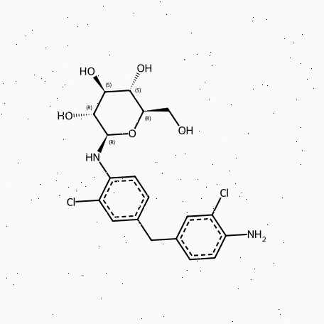 Nc1ccc(Cc2ccc(N[C@@H]3O[C@H](CO)[C@@H](O)[C@H](O)[C@H]3O)c(Cl)c2)cc1Cl